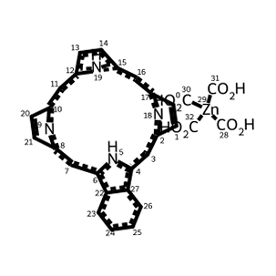 C1=Cc2cc3[nH]c(cc4nc(cc5ccc(cc1n2)[nH]5)C=C4)c1ccccc31.O=[C](O)[Zn]([C](=O)O)([C](=O)O)[C](=O)O